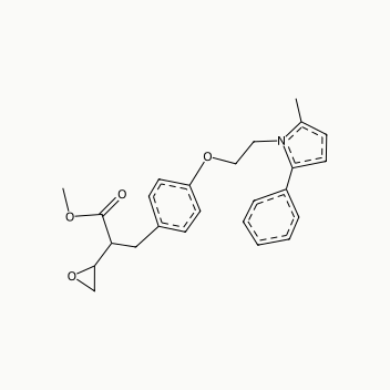 COC(=O)C(Cc1ccc(OCCn2c(C)ccc2-c2ccccc2)cc1)C1CO1